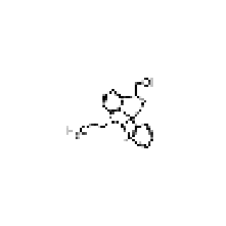 CCCNC(=O)C1(c2ccccc2)CCC(CO)c2ccccc21